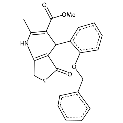 COC(=O)C1=C(C)NC2=C(C(=O)SC2)C1c1ccccc1OCc1ccccc1